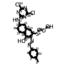 Cc1ccc(N=Nc2c(SOOO)cc3cc(Nc4nc(Cl)nc(Cl)n4)ccc3c2O)cc1